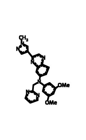 COc1cc(OC)cc(N(Cc2ncccn2)c2ccc3ncc(-c4cnn(C)c4)nc3c2)c1